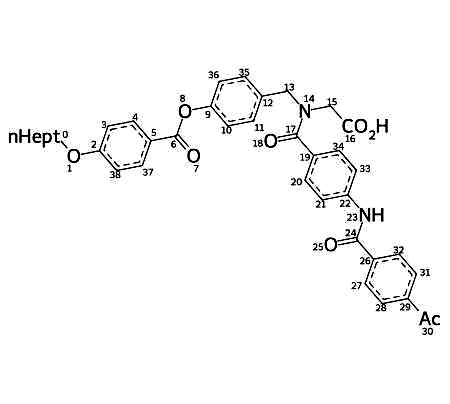 CCCCCCCOc1ccc(C(=O)Oc2ccc(CN(CC(=O)O)C(=O)c3ccc(NC(=O)c4ccc(C(C)=O)cc4)cc3)cc2)cc1